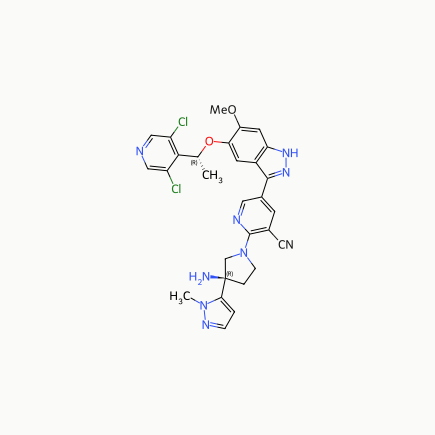 COc1cc2[nH]nc(-c3cnc(N4CC[C@](N)(c5ccnn5C)C4)c(C#N)c3)c2cc1O[C@H](C)c1c(Cl)cncc1Cl